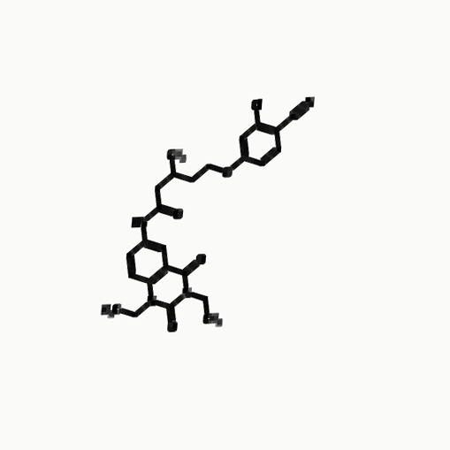 CCn1c(=O)c2cc(NC(=O)CC(C)CCOc3ccc(C#N)c(Cl)c3)ccc2n(CC)c1=O